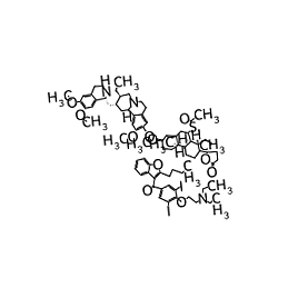 CC(=O)S[C@@H]1CC2=CC(=O)CC[C@]2(C)[C@H]2CC[C@@]3(C)[C@@H](CC[C@@]34CCC(=O)O4)[C@H]12.CCCCc1oc2ccccc2c1C(=O)c1cc(I)c(OCCN(CC)CC)c(I)c1.CC[C@H]1CN2CCc3cc(OC)c(OC)cc3[C@@H]2C[C@@H]1C[C@H]1NCCc2cc(OC)c(OC)cc21